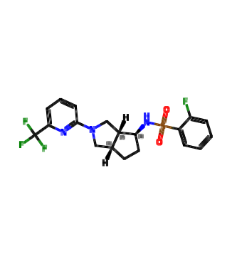 O=S(=O)(N[C@H]1CC[C@@H]2CN(c3cccc(C(F)(F)F)n3)C[C@@H]21)c1ccccc1F